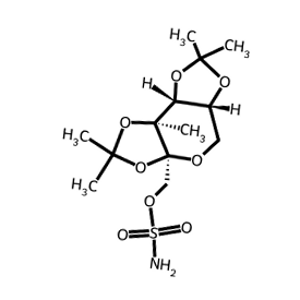 CC1(C)O[C@@H]2[C@@H](CO[C@@]3(COS(N)(=O)=O)OC(C)(C)O[C@@]23C)O1